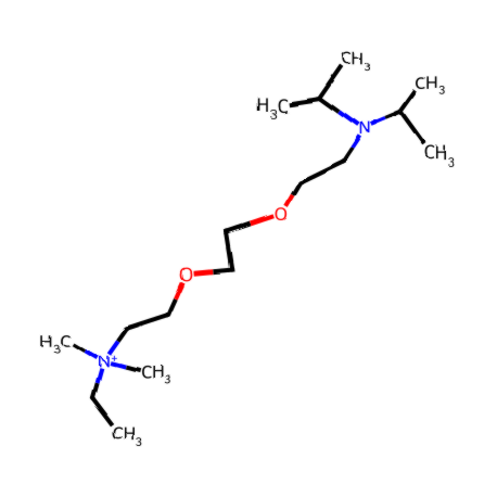 CC[N+](C)(C)CCOCCOCCN(C(C)C)C(C)C